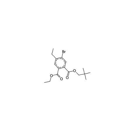 CCOC(=O)c1cc(CC)c(Br)cc1C(=O)OCC(C)(C)C